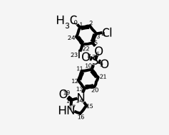 Cc1cc(Cl)c(OS(=O)(=O)c2ccc(N3CCNC3=O)cc2)c(I)c1